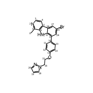 Cc1nccc2c1[nH]c1c(-c3ccc(OCCn4cccn4)cc3)cc(Br)cc12